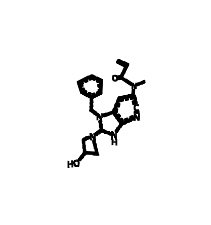 C=CC(=O)N(C)c1cnc2c(c1)N(Cc1ccccc1)C(N1CC(O)C1)N2